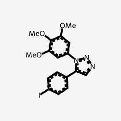 COc1cc(-n2nncc2-c2ccc(I)cc2)cc(OC)c1OC